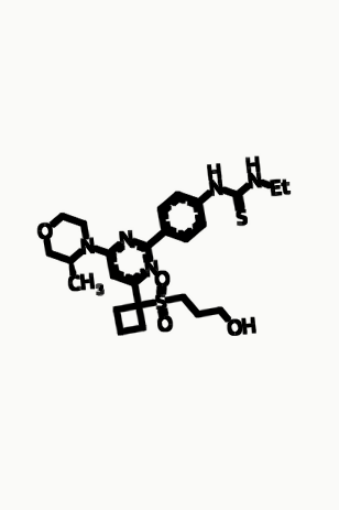 CCNC(=S)Nc1ccc(-c2nc(N3CCOC[C@@H]3C)cc(C3(S(=O)(=O)CCCO)CCC3)n2)cc1